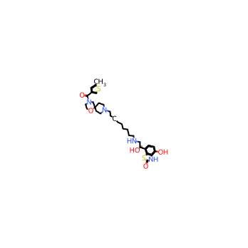 Cc1cc(C(=O)N2CCOC3(CCN(CCCCCCCCCNC[C@H](O)c4ccc(O)c5[nH]c(=O)sc45)CC3)C2)cs1